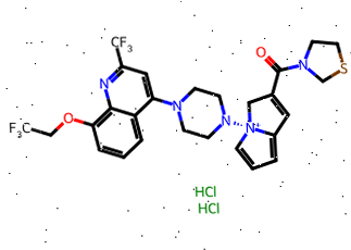 Cl.Cl.O=C(C1=CC2=CC=C[N@@+]2(N2CCN(c3cc(C(F)(F)F)nc4c(OCC(F)(F)F)cccc34)CC2)C1)N1CCSC1